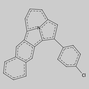 Clc1ccc(-c2cc3cccc4c5cc6ccccc6cc5c2n34)cc1